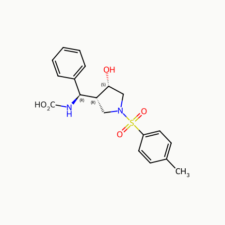 Cc1ccc(S(=O)(=O)N2C[C@H]([C@@H](NC(=O)O)c3ccccc3)[C@H](O)C2)cc1